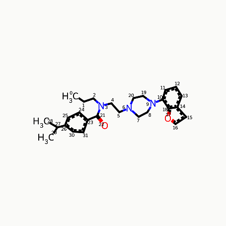 CCCN(CCN1CCN(c2cccc3ccoc23)CC1)C(=O)c1ccc(C(C)C)cc1